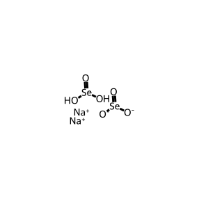 O=[Se](O)O.O=[Se]([O-])[O-].[Na+].[Na+]